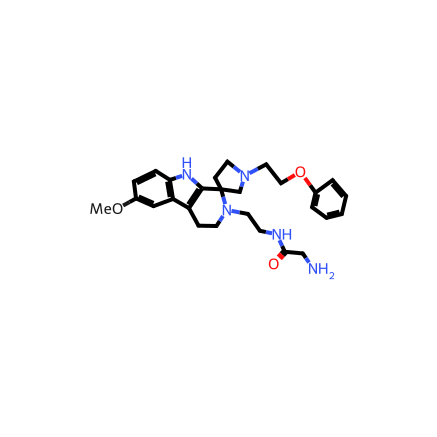 COc1ccc2[nH]c3c(c2c1)CCN(CCNC(=O)CN)C31CCN(CCOc2ccccc2)C1